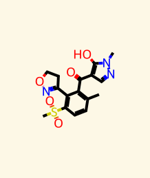 Cc1ccc(S(C)(=O)=O)c(C2=NOCC2)c1C(=O)c1cnn(C)c1O